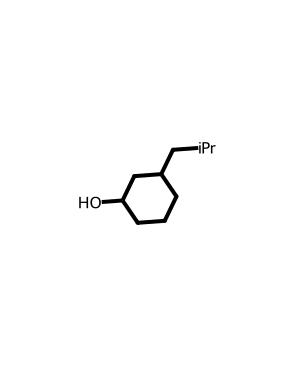 CC(C)CC1CCCC(O)C1